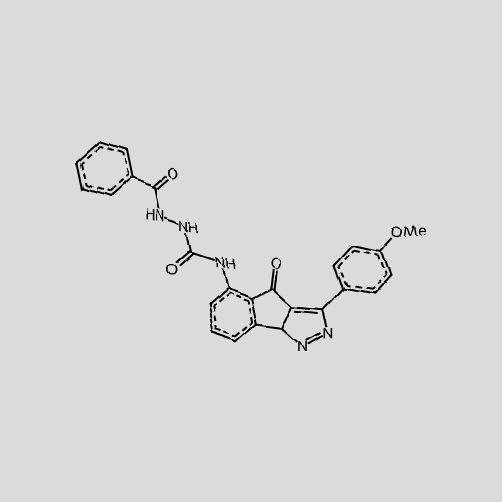 COc1ccc(C2=C3C(=O)c4c(NC(=O)NNC(=O)c5ccccc5)cccc4C3N=N2)cc1